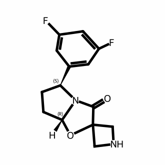 O=C1N2[C@@H](CC[C@H]2c2cc(F)cc(F)c2)OC12CNC2